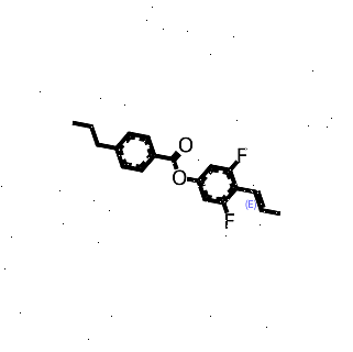 C/C=C/c1c(F)cc(OC(=O)c2ccc(CCC)cc2)cc1F